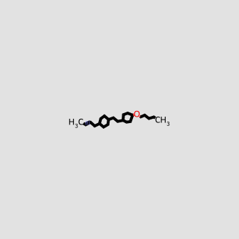 C/C=C/CC1CCC(CCC2CCC(OCCCCC)CC2)CC1